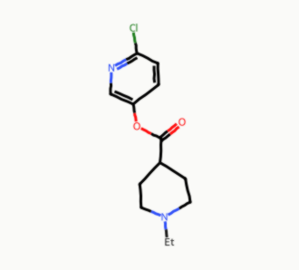 CCN1CCC(C(=O)Oc2ccc(Cl)nc2)CC1